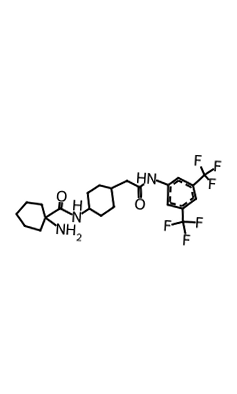 NC1(C(=O)NC2CCC(CC(=O)Nc3cc(C(F)(F)F)cc(C(F)(F)F)c3)CC2)CCCCC1